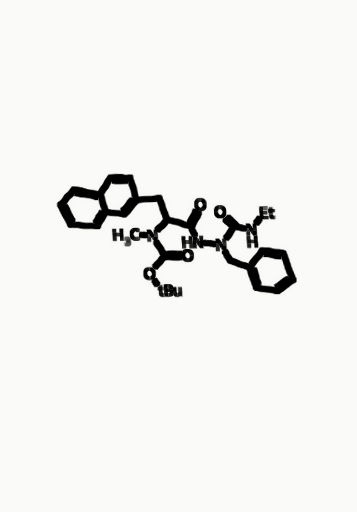 CCNC(=O)N(Cc1ccccc1)NC(=O)C(Cc1ccc2ccccc2c1)N(C)C(=O)OC(C)(C)C